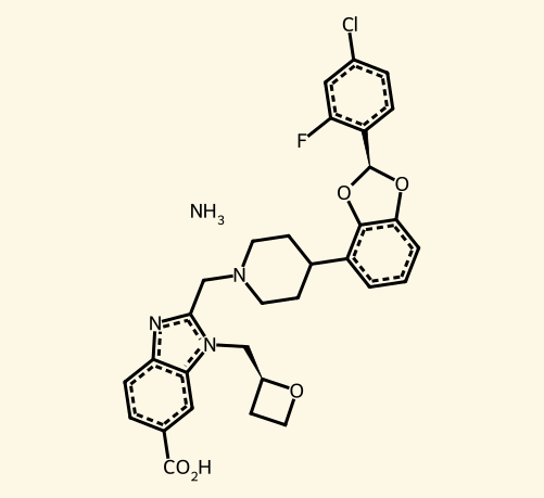 N.O=C(O)c1ccc2nc(CN3CCC(c4cccc5c4O[C@@H](c4ccc(Cl)cc4F)O5)CC3)n(C[C@@H]3CCO3)c2c1